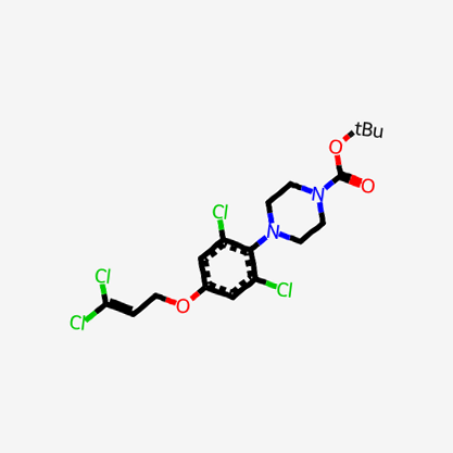 CC(C)(C)OC(=O)N1CCN(c2c(Cl)cc(OCC=C(Cl)Cl)cc2Cl)CC1